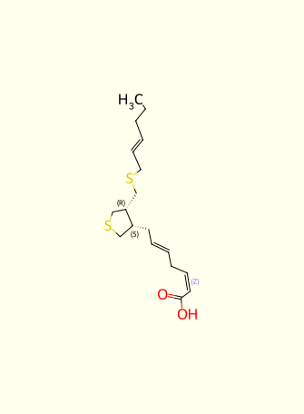 CCCC=CCSC[C@H]1CSC[C@H]1CC=CC/C=C\C(=O)O